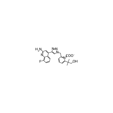 CC(C)(CO)c1cccc(Cn2cc(-c3cc(N)nc4c(F)cccc34)nn2)[n+]1C(=O)[O-]